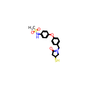 CS(=O)(=O)Nc1ccc(Oc2ccc(CN3CC(S)CC3=O)cc2)cc1